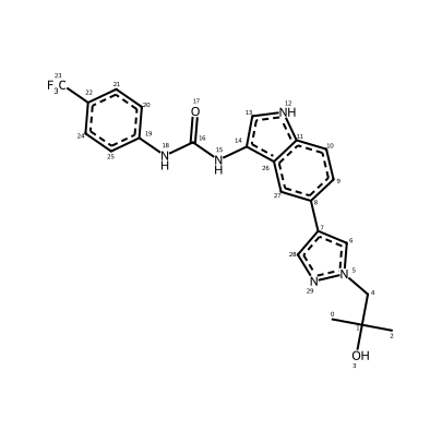 CC(C)(O)Cn1cc(-c2ccc3[nH]cc(NC(=O)Nc4ccc(C(F)(F)F)cc4)c3c2)cn1